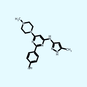 CCCc1ccc(-c2nc(Nc3cc(C)[nH]n3)cc(N3CCN(C)CC3)n2)cc1